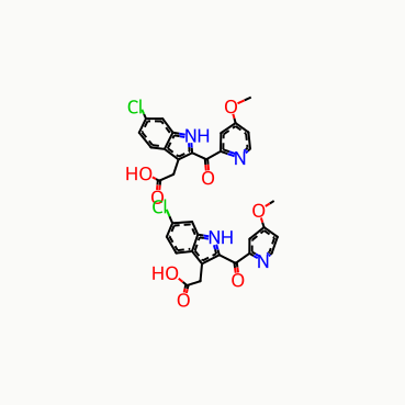 COc1ccnc(C(=O)c2[nH]c3cc(Cl)ccc3c2CC(=O)O)c1.COc1ccnc(C(=O)c2[nH]c3cc(Cl)ccc3c2CC(=O)O)c1